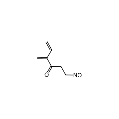 C=CC(=C)C(=O)CCN=O